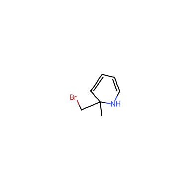 CC1(CBr)C=CC=CN1